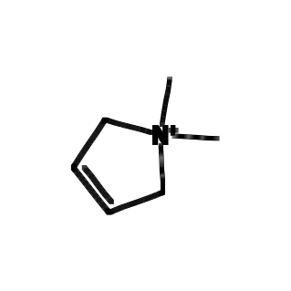 C[N+]1(C)CC=CC1